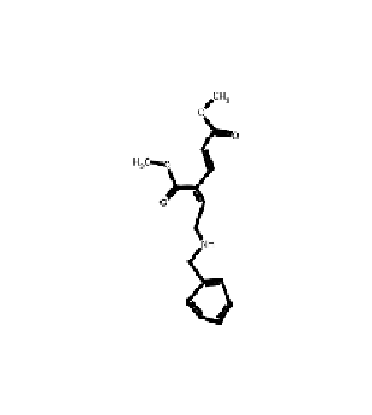 COC(=O)C=CC(=CCNCc1ccccc1)C(=O)OC